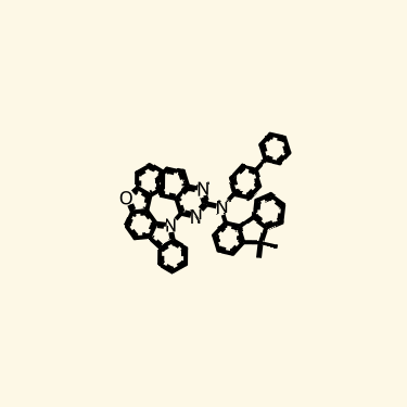 CC1(C)c2ccccc2-c2c(N(c3ccc(-c4ccccc4)cc3)c3nc(-n4c5ccccc5c5ccc6oc7ccccc7c6c54)c4ccccc4n3)cccc21